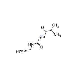 C#CCNC(=O)/C=C/C(=O)C(C)C